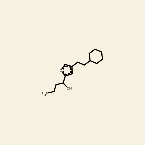 NCCC(O)c1cc(CCC2CCCCC2)co1